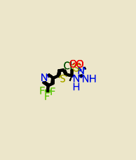 CN1C(=N)N[C@](C)(c2sc(-c3cncc(C(F)(F)F)c3)cc2Cl)CS1(=O)=O